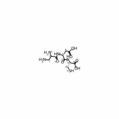 NCC(N)C(=O)N[C@@H](CC(=O)O)C(=O)N[C@@H](CS)C(=O)O